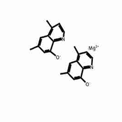 Cc1cc([O-])c2nccc(C)c2c1.Cc1cc([O-])c2nccc(C)c2c1.[Mg+2]